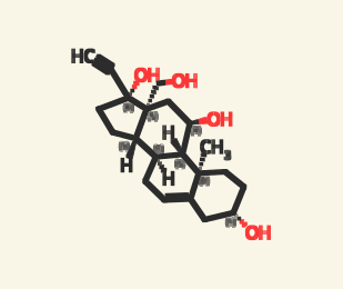 C#C[C@]1(O)CC[C@H]2[C@@H]3CC=C4C[C@@H](O)CC[C@]4(C)[C@H]3[C@H](O)C[C@@]21CO